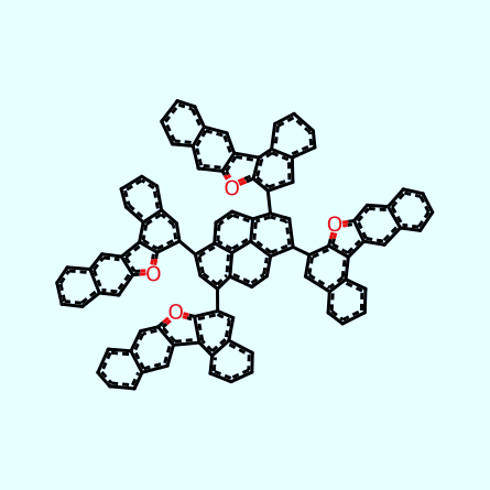 c1ccc2cc3c(cc2c1)oc1c(-c2cc(-c4cc5ccccc5c5c4oc4cc6ccccc6cc45)c4ccc5c(-c6cc7ccccc7c7c6oc6cc8ccccc8cc67)cc(-c6cc7ccccc7c7c6oc6cc8ccccc8cc67)c6ccc2c4c65)cc2ccccc2c13